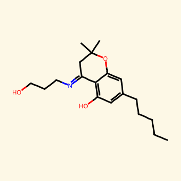 CCCCCc1cc(O)c2c(c1)OC(C)(C)CC2=NCCCO